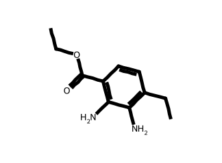 CCOC(=O)c1ccc(CC)c(N)c1N